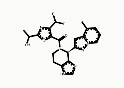 Cc1cccn2nc([C@H]3c4nc[nH]c4CCN3C(=O)c3oc(C(C)O)nc3C(F)F)cc12